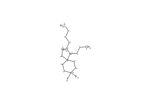 CCCCCN(CCC)C1(CN)CCC(F)(F)CC1